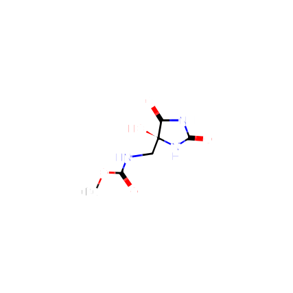 CC(C)(C)OC(=O)NC[C@@]1(O)NC(=O)NC1=O